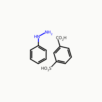 NNc1ccccc1.O=C(O)c1cccc(S(=O)(=O)O)c1